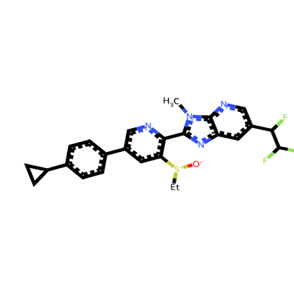 CC[S+]([O-])c1cc(-c2ccc(C3CC3)cc2)cnc1-c1nc2cc(C(F)C(F)F)cnc2n1C